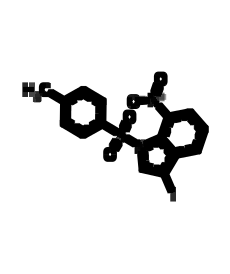 Cc1ccc(S(=O)(=O)n2cc(I)c3cccc([N+](=O)[O-])c32)cc1